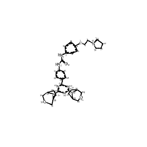 O=C(Nc1ccc(OCCN2CCCC2)cc1)Nc1ccc(-c2nc(N3C4CCC3COC4)nc(N3C4CCC3COC4)n2)cc1